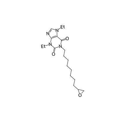 CCn1cnc2c1c(=O)n(CCCCCCCCC1CO1)c(=O)n2CC